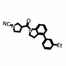 CCc1cccc(-c2cccc3c2CCN3C(=O)C2CCN(C#N)C2)c1